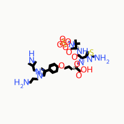 CC1(C)[C@H](NC(=O)/C(=N\O[C@@H](CCCOC2C=CC(c3cn(CCCN)[n+](CC4CNC4)c3)=CC2)C(=O)O)c2csc(N)n2)C(=O)N1OS(=O)(=O)[O-]